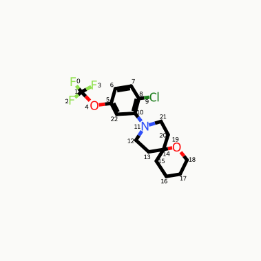 FC(F)(F)Oc1ccc(Cl)c(N2CCC3(CCCCO3)CC2)c1